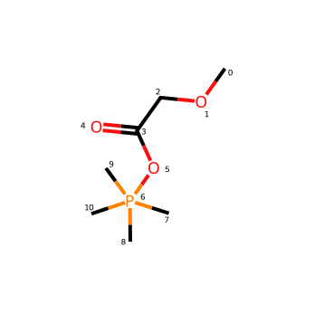 COCC(=O)OP(C)(C)(C)C